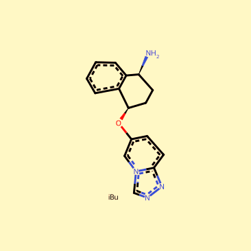 CC[C@H](C)c1nnc2ccc(O[C@@H]3CC[C@H](N)c4ccccc43)cn12